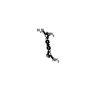 CC(C)(c1ccc(OCC(CN)OC(=O)CCCN)cc1)c1ccc(OCC(CN)OC(=O)CCCN)cc1